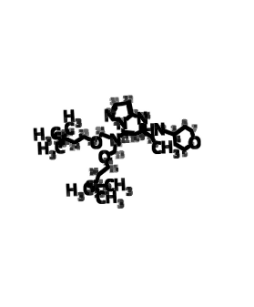 CC(NC1CCOCC1)c1cc(N(COCC[Si](C)(C)C)COCC[Si](C)(C)C)n2nccc2n1